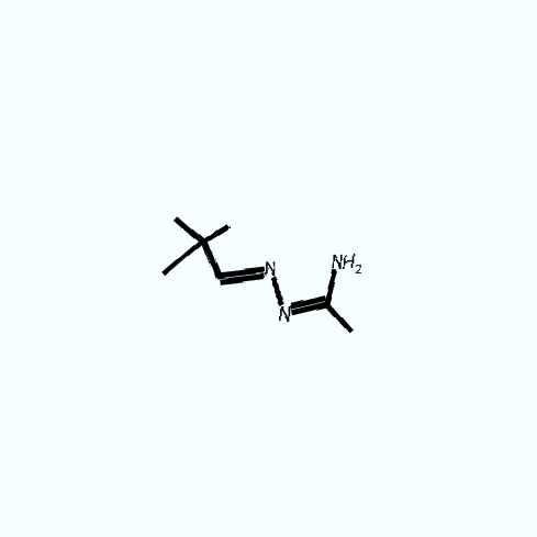 C/C(N)=N/N=C/C(C)(C)C